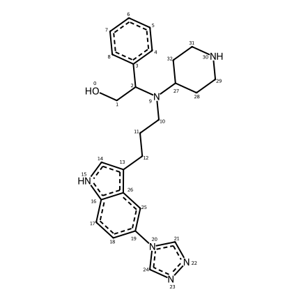 OCC(c1ccccc1)N(CCCc1c[nH]c2ccc(-n3cnnc3)cc12)C1CCNCC1